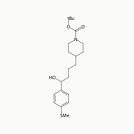 CSc1ccc(C(O)CCCC2CCN(C(=O)OC(C)(C)C)CC2)cc1